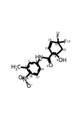 Cc1cc(NC(=O)C2=C(O)CC(F)(F)C=C2)ccc1[N+](=O)[O-]